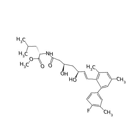 COC(=O)[C@H](CC(C)C)NC(=O)C[C@H](O)C[C@H](O)C=Cc1c(C)cc(C)cc1-c1ccc(F)c(C)c1